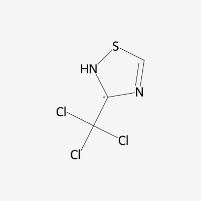 ClC(Cl)(Cl)[C]1N=CSN1